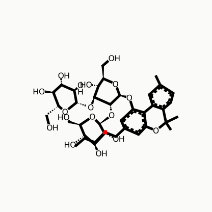 CCCCCc1cc(O[C@@H]2O[C@H](CO)[C@@H](O)[C@H](O[C@@H]3O[C@H](CO)[C@@H](O)[C@H](O)[C@H]3O)[C@H]2O[C@@H]2O[C@H](CO)[C@@H](O)[C@H](O)[C@H]2O)c2c(c1)OC(C)(C)c1ccc(C)cc1-2